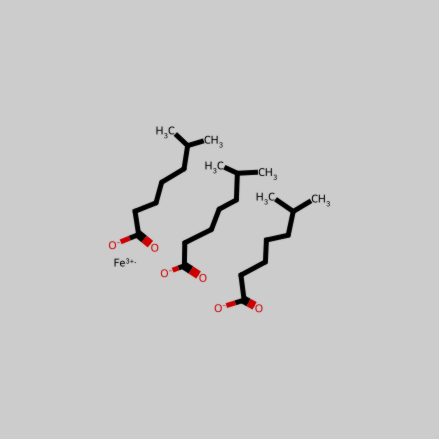 CC(C)CCCCC(=O)[O-].CC(C)CCCCC(=O)[O-].CC(C)CCCCC(=O)[O-].[Fe+3]